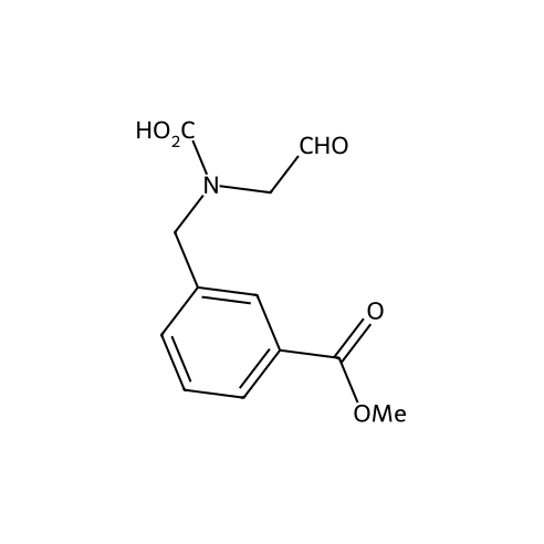 COC(=O)c1cccc(CN(CC=O)C(=O)O)c1